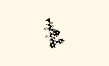 CCC[C@H](NC(=O)[C@H]1[C@@H]2CCC[C@H]2CN1C(=O)[C@@H](NC(=O)[C@@H](NC(=O)c1cnccn1)C1CCCCC1)C(C)(C)C)C(=O)C(=O)NC1CC1